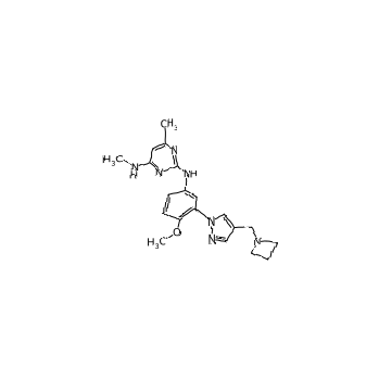 CNc1cc(C)nc(Nc2ccc(OC)c(-n3cc(CN4CCC4)cn3)c2)n1